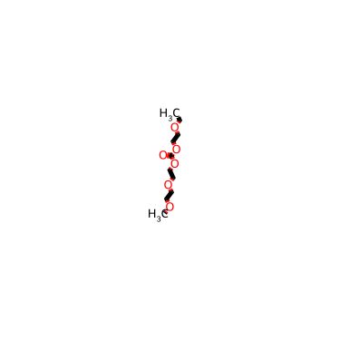 CCOCCOC(=O)OCCOCCOC